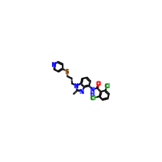 Cc1nc2c(NC(=O)c3c(Cl)cccc3Cl)cccc2n1CCCSc1ccncc1